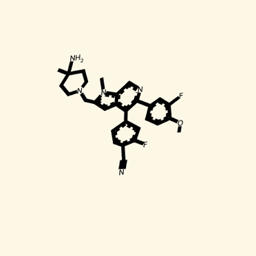 COc1ccc(-c2ncc3c(cc(CN4CCC(C)(N)CC4)n3C)c2-c2ccc(C#N)c(F)c2)cc1F